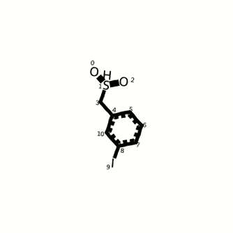 O=[SH](=O)Cc1cccc(I)c1